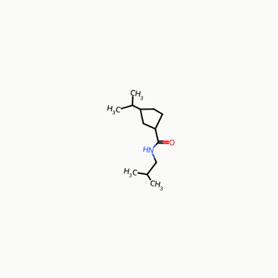 CC(C)CNC(=O)C1CCC(C(C)C)C1